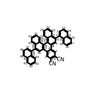 N#Cc1cc2c(cc1C#N)c1cc(-c3cccc4ccccc34)c3ccccc3c1c1c3ccccc3c(-c3cccc4ccccc34)cc21